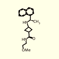 COCCNC(=O)C1CC(N[C@H](C)c2cccc3ccccc23)C1